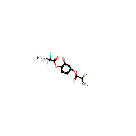 CC(Br)C(=O)Oc1ccc(OC(=O)C(F)(F)S(=O)(=O)O)c(Br)c1